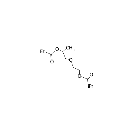 CCC(=O)OC(C)COCCOC(=O)C(C)C